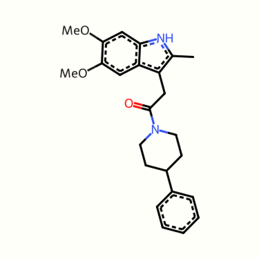 COc1cc2[nH]c(C)c(CC(=O)N3CCC(c4ccccc4)CC3)c2cc1OC